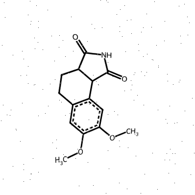 COc1cc2c(cc1OC)C1C(=O)NC(=O)C1CC2